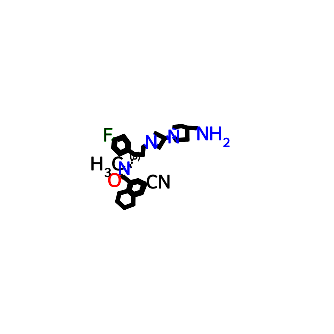 CN(C[C@@H](CCN1CC(N2CCC(CN)CC2)C1)c1ccc(F)cc1)C(=O)c1cc(C#N)cc2c1CCCC2